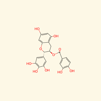 O=C(O[C@@H]1Cc2c(O)cc(O)cc2O[C@H]1c1cc(O)c(O)c(O)c1)c1ccc(O)c(O)c1